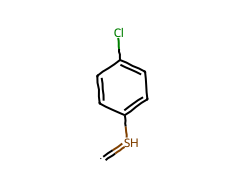 [CH]=[SH]c1ccc(Cl)cc1